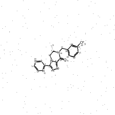 C[C@H]1Cn2c(nnc2-c2cnccn2)C(=O)N1Cc1cccc(C(F)(F)F)c1